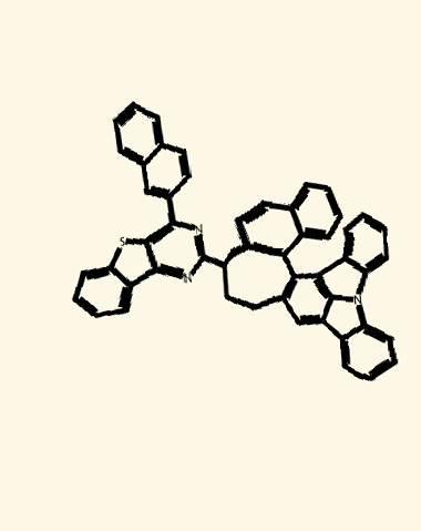 c1ccc2cc(-c3nc(C4CCc5cc6c7ccccc7n7c8ccccc8c(c5-c5c4ccc4ccccc54)c67)nc4c3sc3ccccc34)ccc2c1